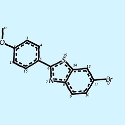 COc1ccc(-c2nc3ccc(Br)cc3s2)cc1